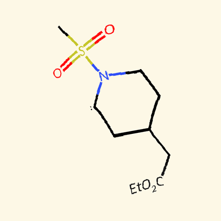 CCOC(=O)CC1C[C]N(S(C)(=O)=O)CC1